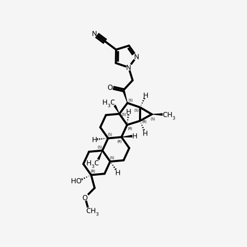 COC[C@@]1(O)CC[C@@]2(C)[C@@H](CC[C@H]3[C@@H]4[C@@H]5[C@H](C)[C@@H]5[C@H](C(=O)Cn5cc(C#N)cn5)[C@@]4(C)CC[C@@H]32)C1